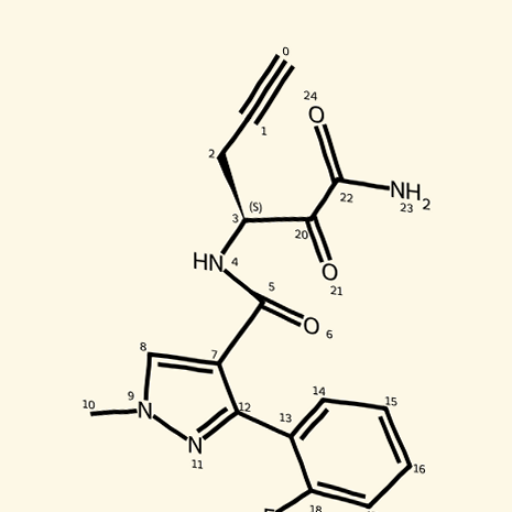 C#CC[C@H](NC(=O)c1cn(C)nc1-c1ccccc1F)C(=O)C(N)=O